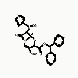 CC(=O)N(c1ccsc1)C1C(=O)N2C=C(C=O)C(C(=O)OC(c3ccccc3)c3ccccc3)S[C@H]12